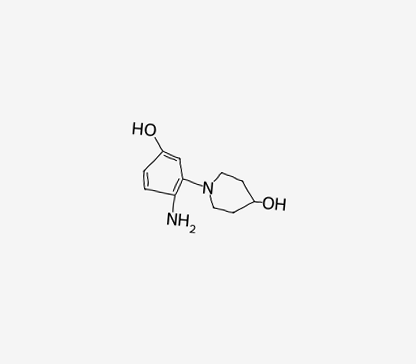 Nc1ccc(O)cc1N1CCC(O)CC1